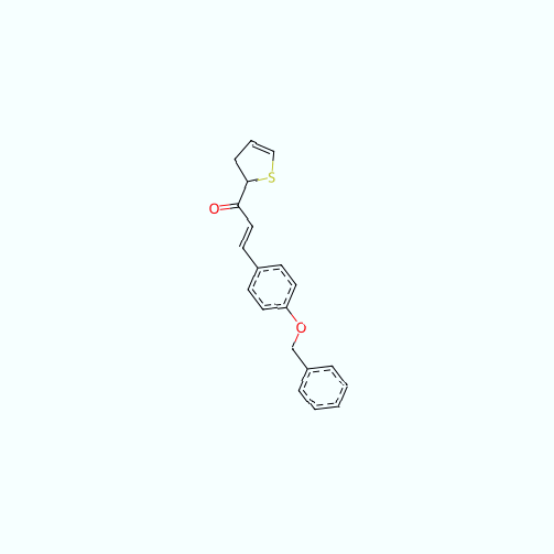 O=C(/C=C/c1ccc(OCc2ccccc2)cc1)C1CC=CS1